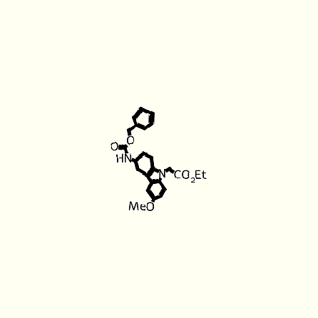 CCOC(=O)Cn1c2c(c3cc(OC)ccc31)CC(NC(=O)OCc1ccccc1)CC2